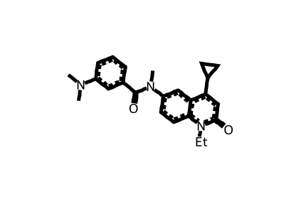 CCn1c(=O)cc(C2CC2)c2cc(N(C)C(=O)c3cccc(N(C)C)c3)ccc21